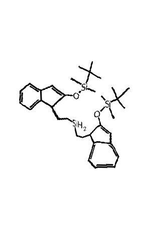 CC(C)(C)[Si](C)(C)OC1=Cc2ccccc2C1C[SiH2]CC1C(O[Si](C)(C)C(C)(C)C)=Cc2ccccc21